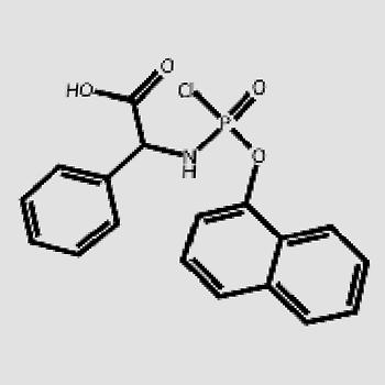 O=C(O)C(NP(=O)(Cl)Oc1cccc2ccccc12)c1ccccc1